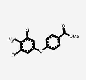 COC(=O)c1ccc(Oc2cc(Cl)c(N)c(Cl)c2)cc1